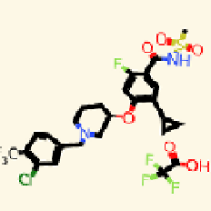 CS(=O)(=O)NC(=O)c1cc(C2CC2)c(O[C@@H]2CCCN(Cc3ccc(C(F)(F)F)c(Cl)c3)C2)cc1F.O=C(O)C(F)(F)F